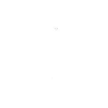 COC(=O)c1ccc2c(c1)SC1C=C(I)C=CC1=C2